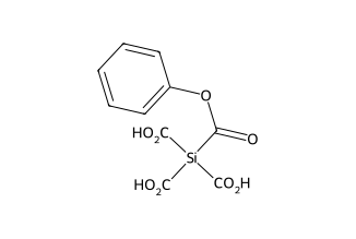 O=C(O)[Si](C(=O)O)(C(=O)O)C(=O)Oc1ccccc1